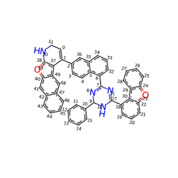 C1=C(c2ccc3c(C4=NC(c5ccccc5)NC(c5cccc6oc7ccccc7c56)=N4)cccc3c2)c2c(oc3cc4ccccc4cc23)NC1